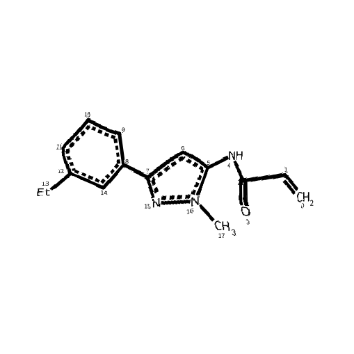 C=CC(=O)Nc1cc(-c2cccc(CC)c2)nn1C